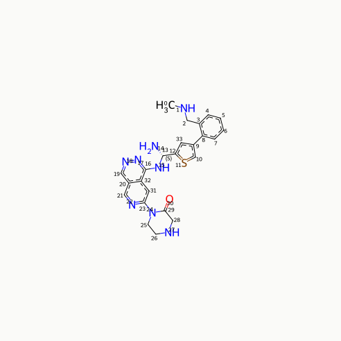 CNCc1ccccc1-c1csc([C@@H](N)Nc2nncc3cnc(N4CCNCC4=O)cc23)c1